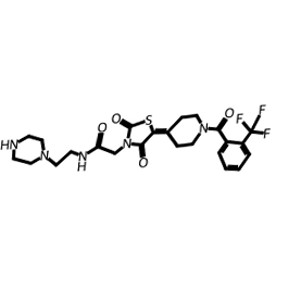 O=C(CN1C(=O)SC(=C2CCN(C(=O)c3ccccc3C(F)(F)F)CC2)C1=O)NCCN1CCNCC1